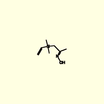 C=C[Si](C)(C)CC(C)=NO